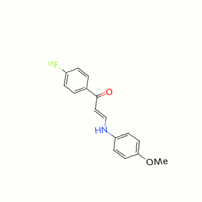 COc1ccc(NC=CC(=O)c2ccc([18F])cc2)cc1